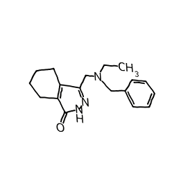 CCN(Cc1ccccc1)Cc1n[nH]c(=O)c2c1CCCC2